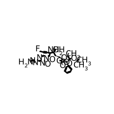 CC(C)OC(=O)[C@H](C)OP(=O)(OC[C@H]1O[C@@H](n2cnc(N=NN)nc2=O)[C@@](N)(C#CCF)C1O)Oc1ccccc1